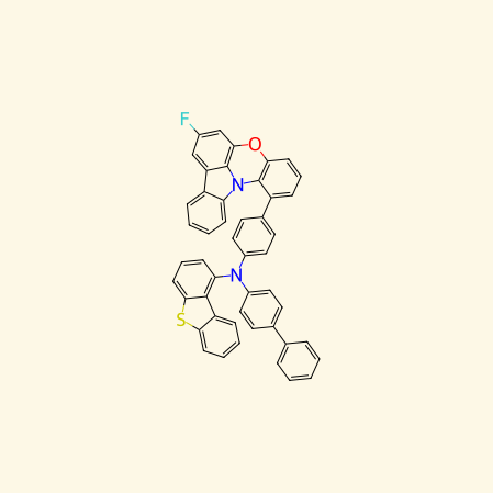 Fc1cc2c3c(c1)c1ccccc1n3-c1c(cccc1-c1ccc(N(c3ccc(-c4ccccc4)cc3)c3cccc4sc5ccccc5c34)cc1)O2